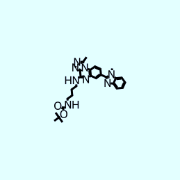 Cc1nnc2c(NCCCCNC(=O)OC(C)(C)C)nc3cc(-c4nc5ccccc5n4C)ccc3n12